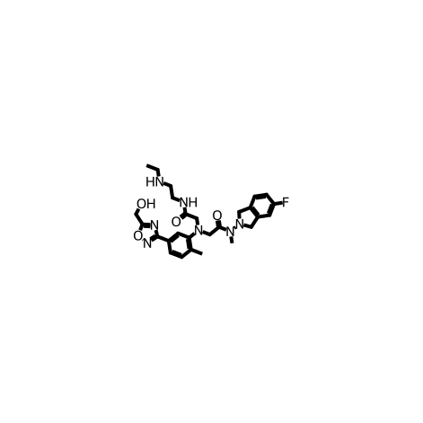 CCNCCNC(=O)CN(CC(=O)N(C)N1Cc2ccc(F)cc2C1)c1cc(-c2noc(CO)n2)ccc1C